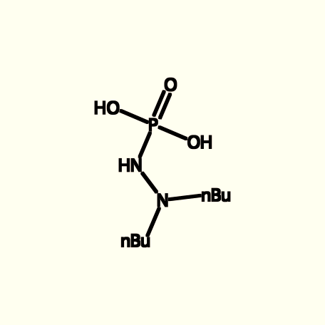 CCCCN(CCCC)NP(=O)(O)O